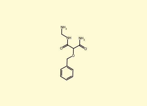 NCNC(=O)C(OCc1ccccc1)C(N)=O